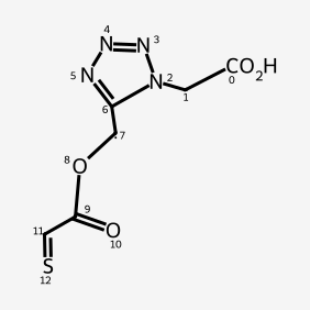 O=C(O)Cn1nnnc1[CH]OC(=O)C=S